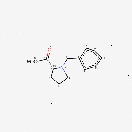 COC(=O)[C@H]1CCCN1Cc1ccccc1